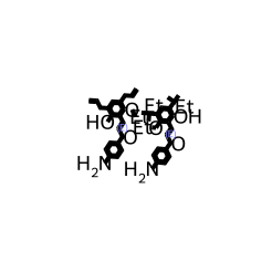 C=CCc1cc(CC=C)c(OCC)c(/C=C/C(=O)c2ccc(N)cc2)c1O.CCOc1c(C(C)(C)CC)cc(C(C)(C)CC)c(O)c1/C=C/C(=O)c1ccc(N)cc1